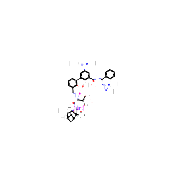 COc1c(CN2O[C@@H](CO)[C@@H]([C@H](C)O)[C@H]2C(=O)N[C@H]2C[C@H]3C[C@@H]([C@@H]2C)C3(C)C)cccc1-c1cc(C(=O)N[C@H](CN(C)C)c2ccccc2)cc(N(C)C)c1